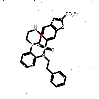 CCOC(=O)c1cc2ccc(S(=O)(=O)N(CCc3ccccc3)c3ccccc3N3CCNCC3)cc2s1